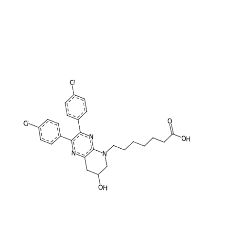 O=C(O)CCCCCCN1CC(O)Cc2nc(-c3ccc(Cl)cc3)c(-c3ccc(Cl)cc3)nc21